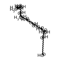 BN[C@@H](CCCCNC(=O)CC[C@@H](C)NC(=O)CCCNC(=O)COCCOCCNC(=O)COCCOCCNC(=O)CC[C@H](NC(=O)CCCNC(=O)CCCCCCCCCCCCCCCCC(=O)O)C(=O)O)C(=O)N[C@@H](CC)C(N)=O